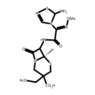 CON=C(C(=O)NC1C(=O)N2CC(COC(C)=O)(C(=O)O)CS[C@H]12)N1C=NSC1N